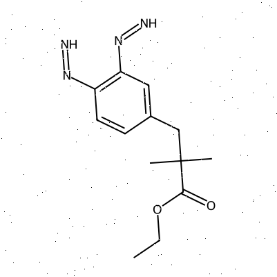 CCOC(=O)C(C)(C)Cc1ccc(N=N)c(N=N)c1